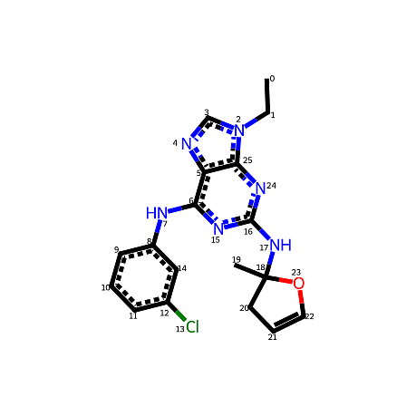 CCn1cnc2c(Nc3cccc(Cl)c3)nc(NC3(C)CC=CO3)nc21